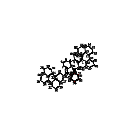 c1ccc(-c2cccc(N(c3ccccc3)c3cc4cccc5c6cccc7cccc(c(c3)c45)c76)c2N(c2ccccc2)c2cc3cccc4c5cccc6cccc(c(c2)c34)c65)cc1